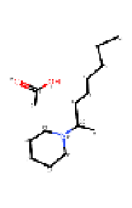 CC(=O)O.CCCCCCC(C)N1CCCCC1